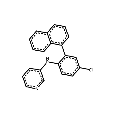 Clc1ccc(Pc2cccnc2)c(-c2cccc3ccccc23)c1